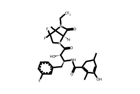 CC1=C(C(=O)N[C@@H](Cc2cccc(F)c2)[C@H](O)C(=O)N2CC(F)(F)C3(C)[C@H]2C(=O)N3CC(F)(F)F)CC(C)C=C1O